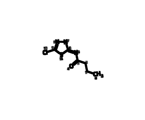 CCCC(=O)N=C1[N]N=C(Cl)S1